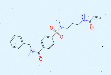 C=CC(=O)NCCCN(C)S(=O)(=O)c1ccc(C(=O)N(C)Cc2ccccc2)cc1